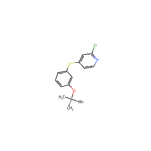 CC(C)(C)[Si](C)(C)Oc1cccc(Sc2ccnc(Cl)c2)c1